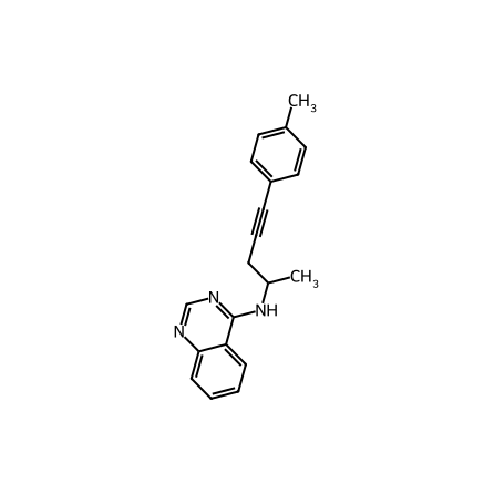 Cc1ccc(C#CCC(C)Nc2ncnc3ccccc23)cc1